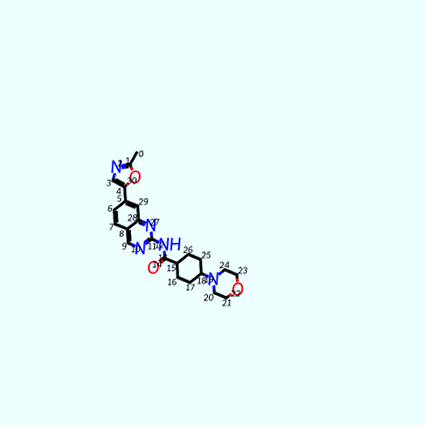 Cc1ncc(-c2ccc3cnc(NC(=O)C4CCC(N5CCOCC5)CC4)nc3c2)o1